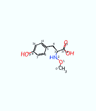 CON[C@@H](Cc1ccc(O)cc1)C(=O)O